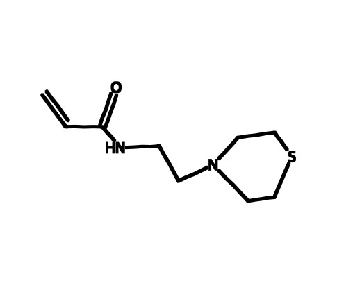 C=CC(=O)NCCN1CCSCC1